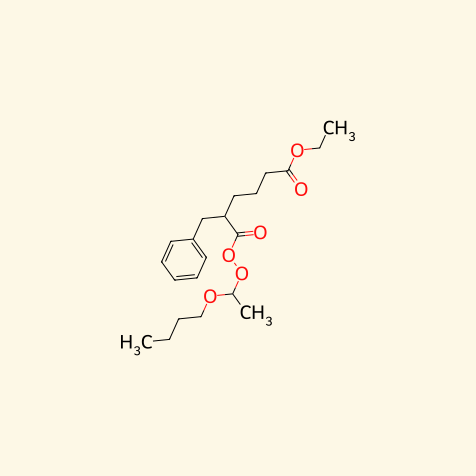 CCCCOC(C)OOC(=O)C(CCCC(=O)OCC)Cc1ccccc1